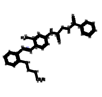 CCOC(=O)OCOc1ccccc1/N=N/c1ccc(NC(=O)CNC(=O)c2ccccc2)nc1N